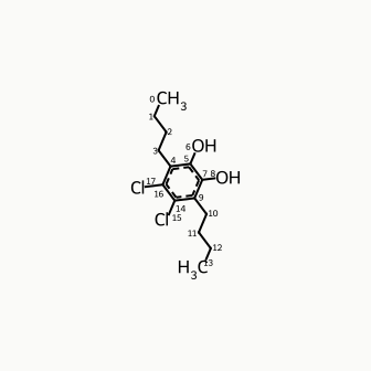 CCCCc1c(O)c(O)c(CCCC)c(Cl)c1Cl